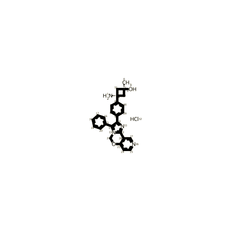 C[C@]1(O)C[C@@](N)(c2ccc(-c3nc4n(c3-c3ccccc3)COc3ccncc3-4)cc2)C1.Cl